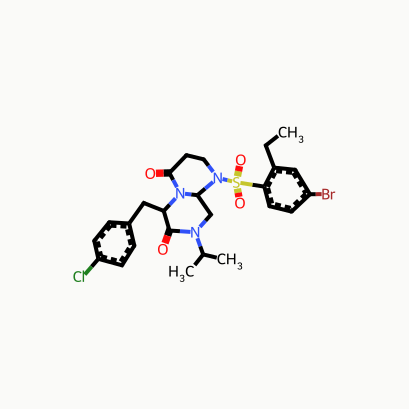 CCc1cc(Br)ccc1S(=O)(=O)N1CCC(=O)N2C(Cc3ccc(Cl)cc3)C(=O)N(C(C)C)CC21